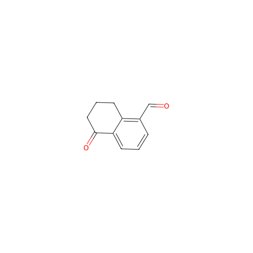 O=Cc1cccc2c1CCCC2=O